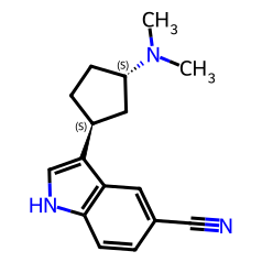 CN(C)[C@H]1CC[C@H](c2c[nH]c3ccc(C#N)cc23)C1